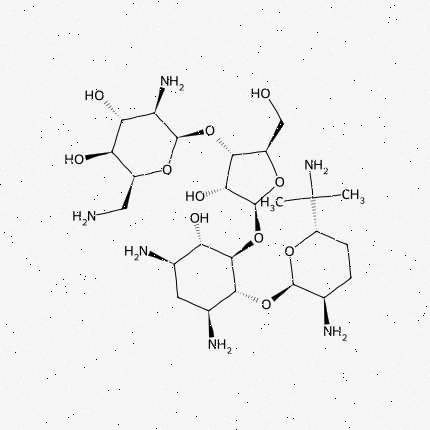 CC(C)(N)[C@@H]1CC[C@@H](N)[C@@H](O[C@H]2[C@H](O[C@@H]3O[C@H](CO)[C@@H](O[C@H]4O[C@@H](CN)[C@@H](O)[C@H](O)[C@H]4N)[C@H]3O)[C@@H](O)[C@H](N)C[C@@H]2N)O1